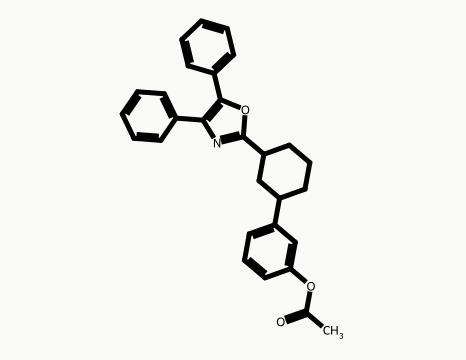 CC(=O)Oc1cccc(C2CCCC(c3nc(-c4ccccc4)c(-c4ccccc4)o3)C2)c1